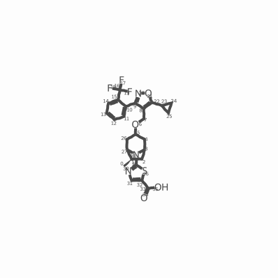 C[C@@H]1CC2CC(OCc3c(-c4ccccc4C(F)(F)F)noc3C3CC3)CC1N2c1ncc(C(=O)O)s1